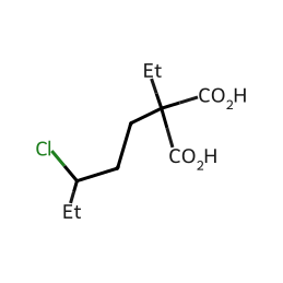 CCC(Cl)CCC(CC)(C(=O)O)C(=O)O